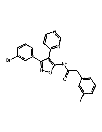 Cc1cccc(CC(=O)Nc2onc(-c3cccc(Br)c3)c2-c2ccncn2)c1